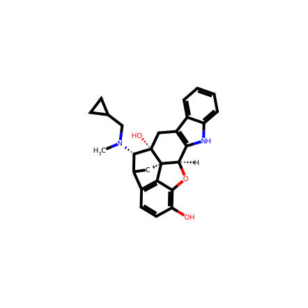 CN(CC1CC1)[C@H]1C2C[C@@]34c5c2ccc(O)c5O[C@@H]3c2[nH]c3ccccc3c2C[C@]14O